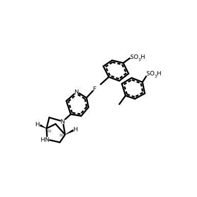 Cc1ccc(S(=O)(=O)O)cc1.Cc1ccc(S(=O)(=O)O)cc1.Fc1ccc(N2C[C@@H]3C[C@H]2CN3)cn1